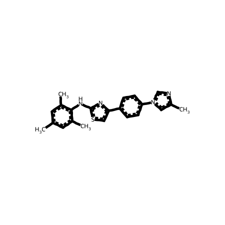 Cc1cc(C)c(Nc2nc(-c3ccc(-n4cnc(C)c4)cc3)cs2)c(C)c1